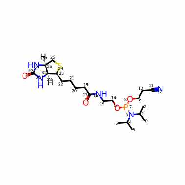 CC(C)N(C(C)C)P(OCCC#N)OCCNC(=O)CCCC[C@@H]1SC[C@@H]2NC(=O)N[C@@H]21